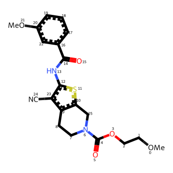 COCCOC(=O)N1CCc2c(sc(NC(=O)c3cccc(OC)c3)c2C#N)C1